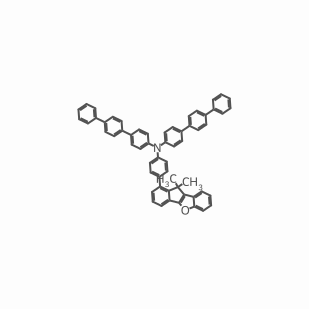 CC1(C)c2c(-c3ccc(N(c4ccc(-c5ccc(-c6ccccc6)cc5)cc4)c4ccc(-c5ccc(-c6ccccc6)cc5)cc4)cc3)cccc2-c2oc3ccccc3c21